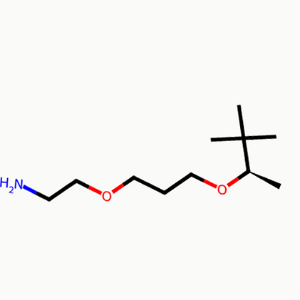 C[C@@H](OCCCOCCN)C(C)(C)C